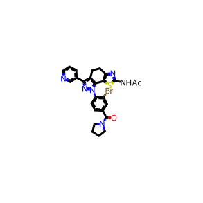 CC(=O)Nc1nc2c(s1)-c1c(c(-c3cccnc3)nn1-c1ccc(C(=O)N3CCCC3)cc1Br)CC2